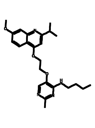 CCCCNc1nc(C)ncc1OCCOc1cc(C(C)C)nc2cc(OC)ccc12